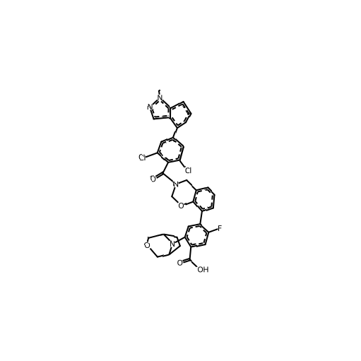 Cn1ncc2c(-c3cc(Cl)c(C(=O)N4COc5c(cccc5-c5cc(N6C7CCC6COC7)c(C(=O)O)cc5F)C4)c(Cl)c3)cccc21